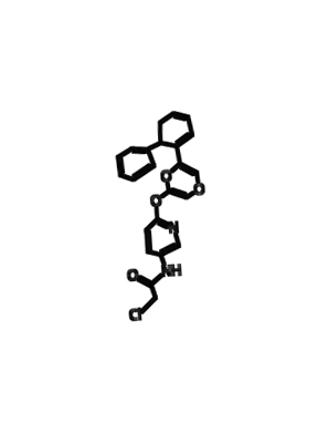 O=C(CCl)Nc1ccc(OC2=COC=C(C3=CC=CCC3c3ccccc3)O2)nc1